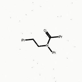 CC(C)CCN(C(=O)C(C)C)C(C)C